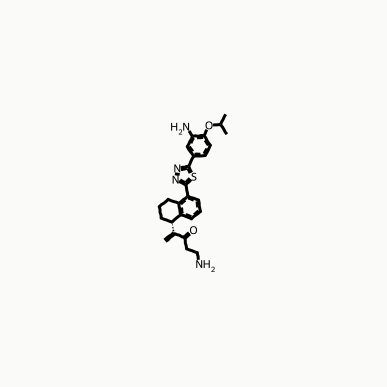 C=C(C(=O)CCN)[C@@H]1CCCc2c(-c3nnc(-c4ccc(OC(C)C)c(N)c4)s3)cccc21